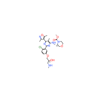 CNC[C@H](O)COc1ccc(Cl)c(-c2nc(NC[C@H]3COCCN3C(=O)OC)c(C)c(-c3c(C)noc3C)n2)c1